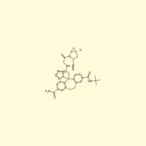 C=C(CN[C@@H](C)CC1(c2nnn[nH]2)c2ccc(C(N)=O)cc2CCc2cc(C(=O)NC(C)(C)C)ccc21)N1C(C#N)C[C@@H]2CC21